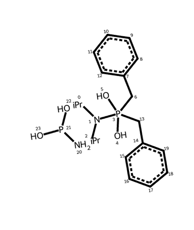 CC(C)N(C(C)C)P(O)(O)(Cc1ccccc1)Cc1ccccc1.NP(O)O